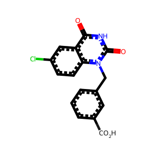 O=C(O)c1cccc(Cn2c(=O)[nH]c(=O)c3cc(Cl)ccc32)c1